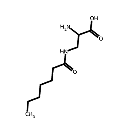 CCCCCCC(=O)NCC(N)C(=O)O